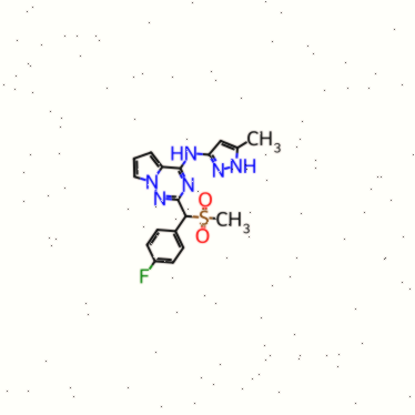 Cc1cc(Nc2nc(C(c3ccc(F)cc3)S(C)(=O)=O)nn3cccc23)n[nH]1